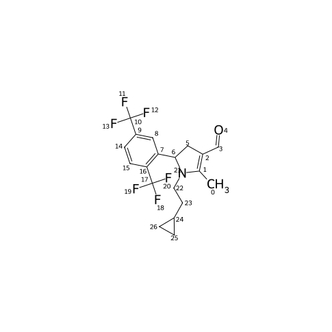 CC1=C(C=O)CC(c2cc(C(F)(F)F)ccc2C(F)(F)F)N1CCC1CC1